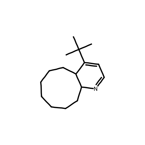 CC(C)(C)C1=CC=NC2CCCCCCCC12